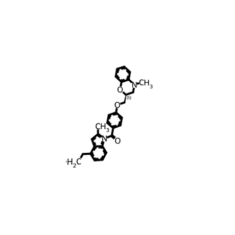 [CH2]Cc1cccc2c1cc(C)n2C(=O)c1ccc(OC[C@@H]2CN(C)c3ccccc3O2)cc1